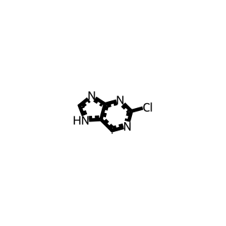 Clc1n[c]c2[nH]cnc2n1